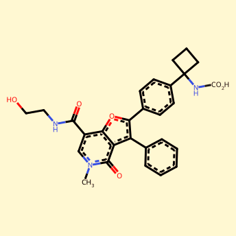 Cn1cc(C(=O)NCCO)c2oc(-c3ccc(C4(NC(=O)O)CCC4)cc3)c(-c3ccccc3)c2c1=O